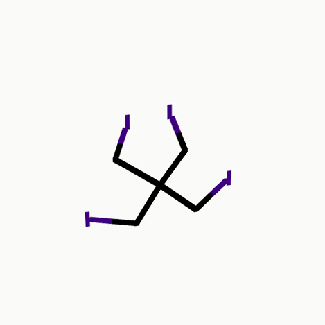 ICC(CI)(CI)CI